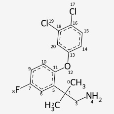 CC(C)(CN)c1cc(F)ccc1Oc1ccc(Cl)c(Cl)c1